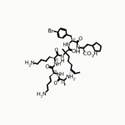 C/C=C\CCCC(C)(NC(=O)[C@H](CCCCN)NC(=O)[C@H](CCCCN)NC(=O)[C@H](C)N)C(=O)N[C@@H](Cc1ccc(Br)cc1)C(=O)N[C@@H](CC1CCCC1)C(=O)O